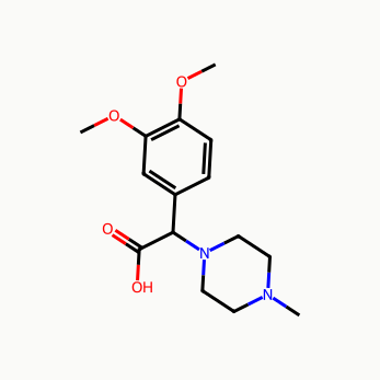 COc1ccc(C(C(=O)O)N2CCN(C)CC2)cc1OC